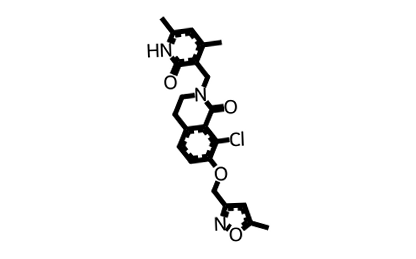 Cc1cc(C)c(CN2CCc3ccc(OCc4cc(C)on4)c(Cl)c3C2=O)c(=O)[nH]1